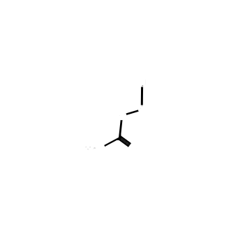 COC(=O)OSCl